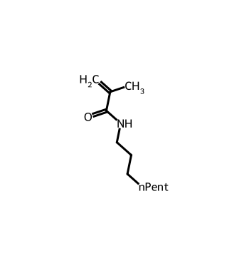 [CH2]CCCCCCCNC(=O)C(=C)C